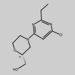 CCc1nc(Cl)cc(N2CCO[C@@H](CO)C2)n1